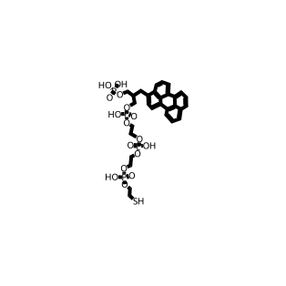 O=P(O)(O)OCC(COP(=O)(O)OCCOP(=O)(O)OCCOP(=O)(O)OCCS)Cc1ccc2c3cccc4cccc(c5cccc1c52)c43